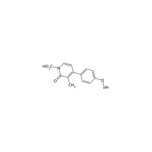 CCCOc1ccc(-c2ccn(C(=O)O)c(=O)c2C)cc1